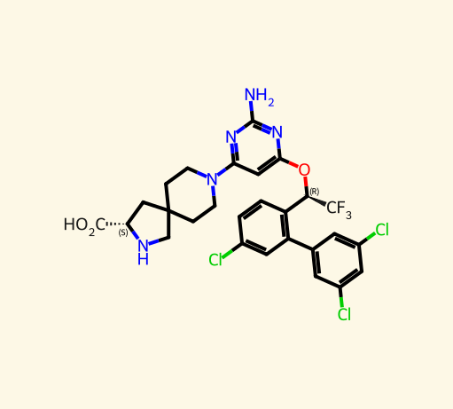 Nc1nc(O[C@H](c2ccc(Cl)cc2-c2cc(Cl)cc(Cl)c2)C(F)(F)F)cc(N2CCC3(CC2)CN[C@H](C(=O)O)C3)n1